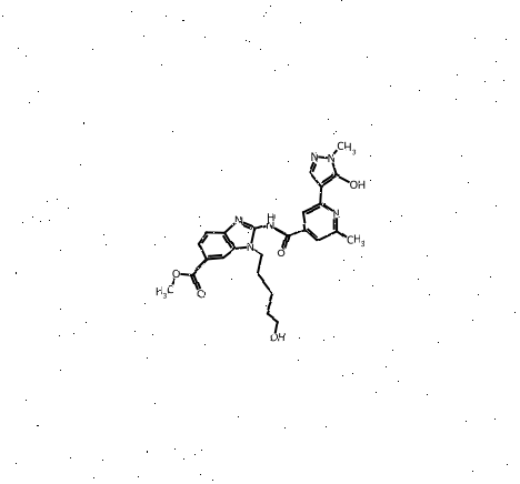 COC(=O)c1ccc2nc(NC(=O)c3cc(C)nc(-c4cnn(C)c4O)c3)n(CCCCCO)c2c1